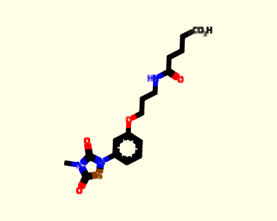 Cn1c(=O)sn(-c2cccc(OCCCNC(=O)CCCC(=O)O)c2)c1=O